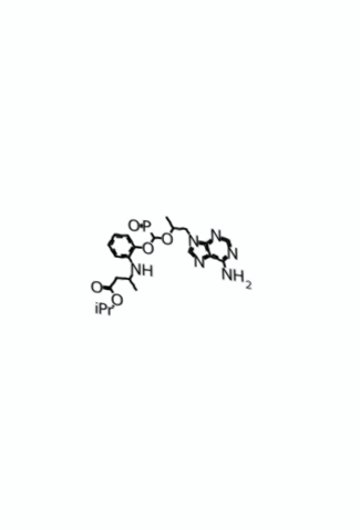 CC(CC(=O)OC(C)C)Nc1ccccc1OC(OC(C)Cn1cnc2c(N)ncnc21)P=O